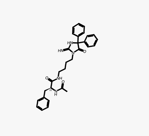 CC(=O)N[C@@H](Cc1ccccc1)C(=O)NCCCCN1C(=N)NC(c2ccccc2)(c2ccccc2)C1=O